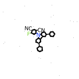 N#Cc1cc(C#N)c(-n2c3ccc(-c4ccccc4)cc3c3cc(-c4ccccc4)ccc32)cc1F